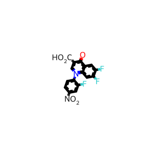 O=C(O)c1cn(-c2ccc([N+](=O)[O-])cc2F)c2cc(F)c(F)cc2c1=O